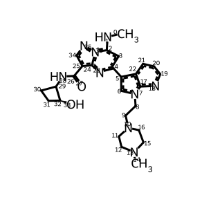 CNc1cc(-c2cn(CCN3CCN(C)CC3)c3ncccc23)nc2c(C(=O)NC3CC[C@@H]3O)cnn12